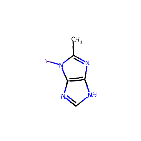 Cc1nc2[nH]cnc2n1I